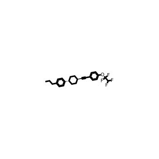 CCCc1ccc([C@H]2CC[C@H](C#Cc3ccc(OC(F)(F)C(F)F)cc3)CC2)cc1